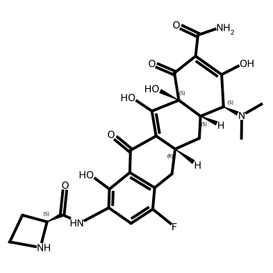 CN(C)[C@@H]1C(O)=C(C(N)=O)C(=O)[C@@]2(O)C(O)=C3C(=O)c4c(O)c(NC(=O)[C@@H]5CCN5)cc(F)c4C[C@H]3C[C@@H]12